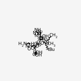 C=CCCC(=O)N(C)[C@@H](CSSC(C)(C)C)C(=O)O[C@H]1[C@@H](O)[C@H](n2cnc3c(N)ncnc32)O[C@@H]1COP(=O)(O)O[C@H]1C[C@H](n2ccc(N)nc2=O)O[C@@H]1COP(=O)(O)O